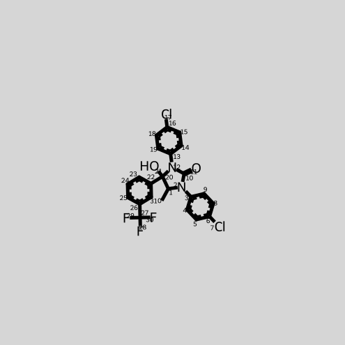 CC1N(c2ccc(Cl)cc2)C(=O)N(c2ccc(Cl)cc2)C1(O)c1cccc(C(F)(F)F)c1